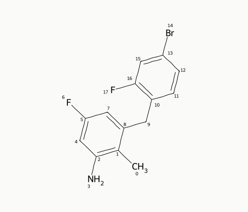 Cc1c(N)cc(F)cc1Cc1ccc(Br)cc1F